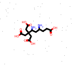 NC(CCC(=O)O)CC(N)C(CC(=O)O)(CC(=O)O)CC(=O)O